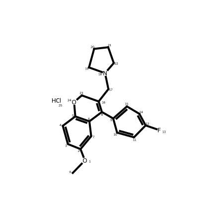 COc1ccc2c(c1)C(c1ccc(F)cc1)=C(CN1CCCC1)CO2.Cl